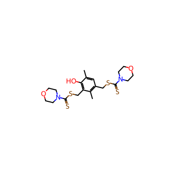 Cc1cc(CSC(=S)N2CCOCC2)c(C)c(CSC(=S)N2CCOCC2)c1O